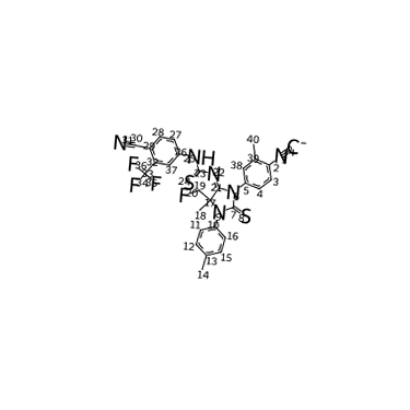 [C-]#[N+]c1ccc(N2C(=S)N(c3ccc(C)cc3)C(C)(CF)C2=NC(=S)Nc2ccc(C#N)c(C(F)(F)F)c2)cc1C